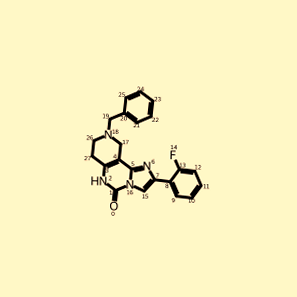 O=c1[nH]c2c(c3nc(-c4ccccc4F)cn13)CN(Cc1ccccc1)CC2